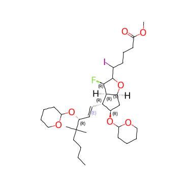 CCCCC(C)(C)[C@@H](/C=C/[C@@H]1[C@@H]2[C@H](C[C@H]1OC1CCCCO1)OC(C(I)CCCC(=O)OC)[C@@H]2F)OC1CCCCO1